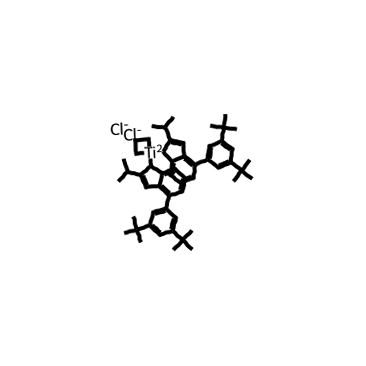 CC(C)C1=Cc2c(-c3cc(C(C)(C)C)cc(C(C)(C)C)c3)cccc2[CH]1[Ti+2]1([CH]2C(C(C)C)=Cc3c(-c4cc(C(C)(C)C)cc(C(C)(C)C)c4)cccc32)[CH2]C[CH2]1.[Cl-].[Cl-]